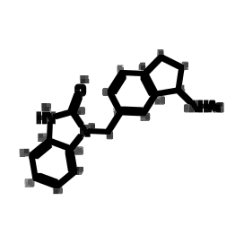 CC(=O)NC1CCc2ccc(Cn3c(=O)[nH]c4ccccc43)cc21